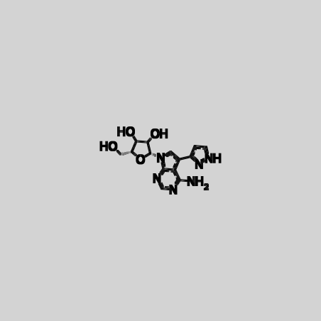 Nc1ncnc2c1c(-c1cc[nH]n1)cn2[C@@H]1O[C@H](CO)C(O)C1O